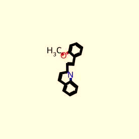 COc1ccccc1C=Cc1ccc2ccccc2n1